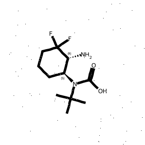 CC(C)(C)N(C(=O)O)[C@H]1CCCC(F)(F)[C@@H]1N